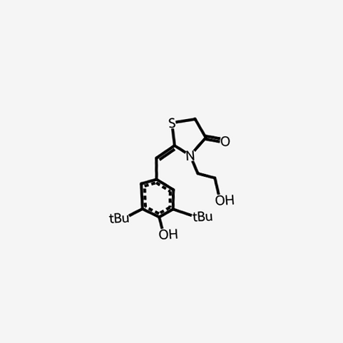 CC(C)(C)c1cc(C=C2SCC(=O)N2CCO)cc(C(C)(C)C)c1O